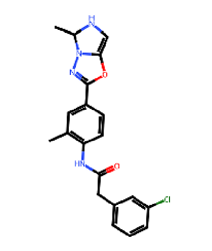 Cc1cc(C2=NN3C(=CNC3C)O2)ccc1NC(=O)Cc1cccc(Cl)c1